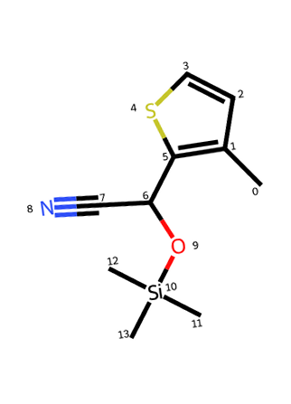 Cc1ccsc1C(C#N)O[Si](C)(C)C